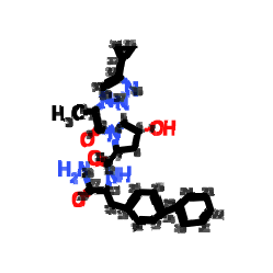 CC(C(=O)N1C[C@H](O)C[C@H]1C(=O)NC(Cc1ccc(-c2ccccc2)cc1)C(N)=O)n1cc(C2CC2)nn1